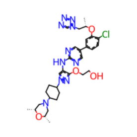 C[C@@H]1CN(C2CCC(n3cc(Nc4ncc(-c5ccc(Cl)c(O[C@@H](C)Cn6cnnn6)c5)cn4)c(OCCO)n3)CC2)C[C@H](C)O1